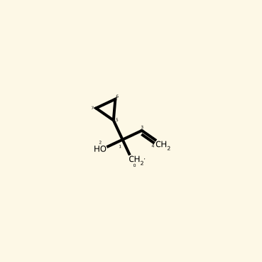 [CH2]C(O)(C=C)C1CC1